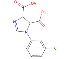 O=C(O)C1N=CN(c2cccc(Cl)c2)C1C(=O)O